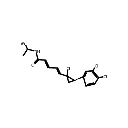 CC(C)C(C)NC(=O)C=CC=CC1(Cl)C[C@@H]1c1ccc(Cl)c(Cl)c1